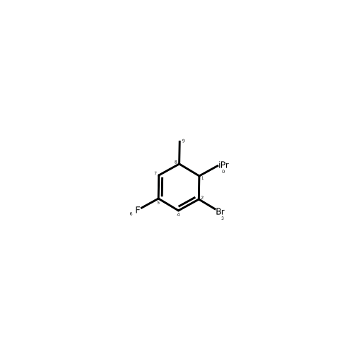 CC(C)C1C(Br)=CC(F)=CC1C